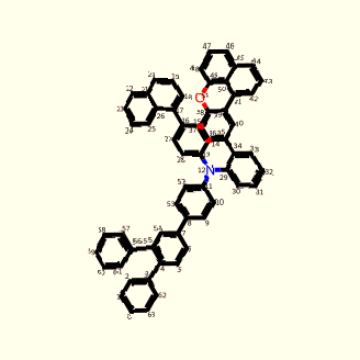 c1ccc(-c2ccc(-c3ccc(N(c4ccc(-c5cccc6ccccc56)cc4)c4ccccc4-c4ccc5c(c4)-c4cccc6cccc(c46)O5)cc3)cc2-c2ccccc2)cc1